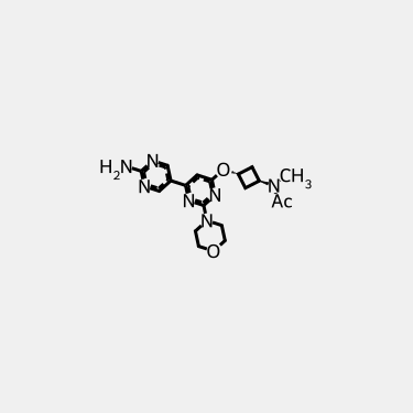 CC(=O)N(C)[C@H]1C[C@H](Oc2cc(-c3cnc(N)nc3)nc(N3CCOCC3)n2)C1